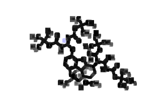 CO[C@@]12CC[C@H](N(C(=N)NC(=O)OC(C)(C)C)C(=O)OC(C)(C)C)[C@@H]3Oc4c(O/C(=N\C(=O)OC(C)(C)C)NC(=O)OC(C)(C)C)ccc5c4[C@@]31CCN(C)[C@@H]2C5